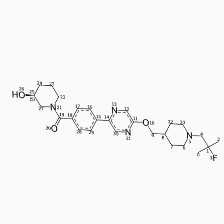 CC(C)(F)CN1CCC(COc2cnc(-c3ccc(C(=O)N4CCC[C@H](O)C4)cc3)cn2)CC1